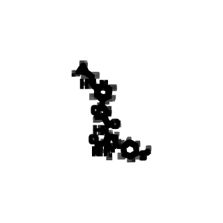 CS[C@H]1CC[C@@H](n2cc(NC(=O)c3coc(-c4ccnc(NCC5CC5)c4)n3)c(C(N)=O)n2)CC1